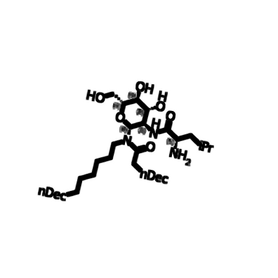 CCCCCCCCCCCCCCCCN(C(=O)CCCCCCCCCCC)[C@@H]1O[C@H](CO)[C@@H](O)[C@H](O)[C@H]1NC(=O)[C@@H](N)CC(C)C